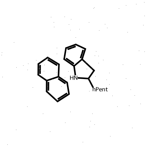 CCCCCC1Cc2ccccc2N1.c1ccc2ccccc2c1